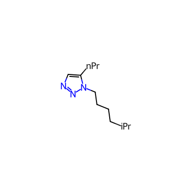 CCCc1cnnn1CCCCC(C)C